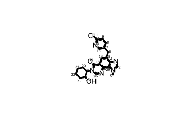 Cn1cnc2c(Cc3ccc(Cl)nc3)cc3c(=O)n(C4CCCCC4O)cnc3c21